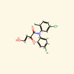 Cc1ccc(Cl)cc1N(C(=O)C(=O)C=CO)c1ccc(F)cc1